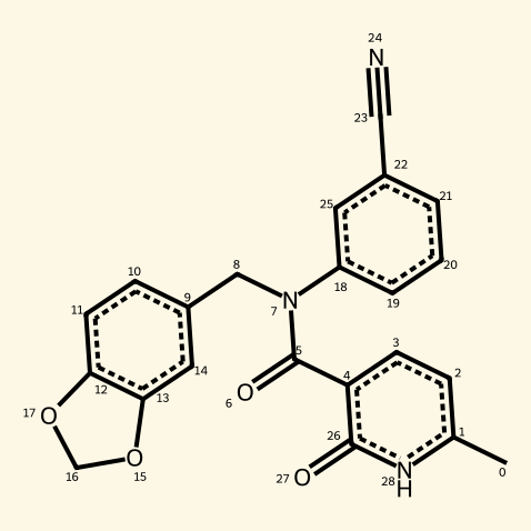 Cc1ccc(C(=O)N(Cc2ccc3c(c2)OCO3)c2cccc(C#N)c2)c(=O)[nH]1